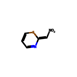 O=[N+]([O-])/C=C1/N=CC=CS1